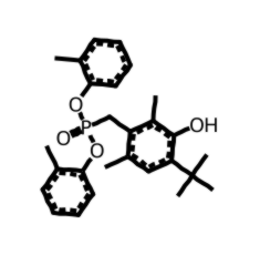 Cc1ccccc1OP(=O)(Cc1c(C)cc(C(C)(C)C)c(O)c1C)Oc1ccccc1C